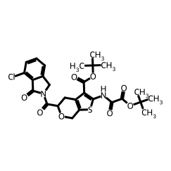 CC(C)(C)OC(=O)C(=O)Nc1sc2c(c1C(=O)OC(C)(C)C)CC(C(=O)N1Cc3cccc(Cl)c3C1=O)OC2